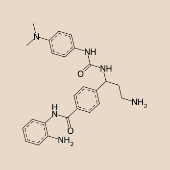 CN(C)c1ccc(NC(=O)NC(CCN)c2ccc(C(=O)Nc3ccccc3N)cc2)cc1